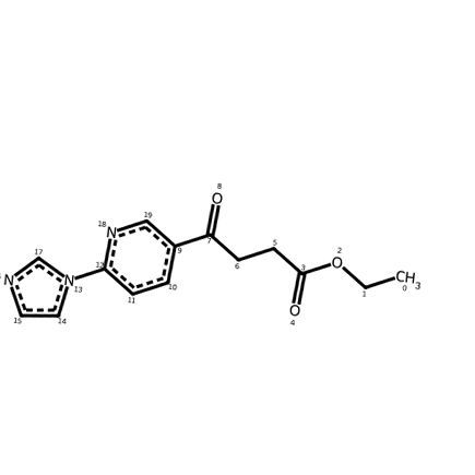 CCOC(=O)CCC(=O)c1ccc(-n2ccnc2)nc1